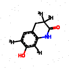 [2H]c1cc2c(c([2H])c1O)NC(=O)C([2H])([2H])C2